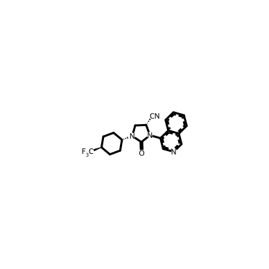 N#C[C@H]1CN([C@H]2CC[C@H](C(F)(F)F)CC2)C(=O)N1c1cncc2ccccc12